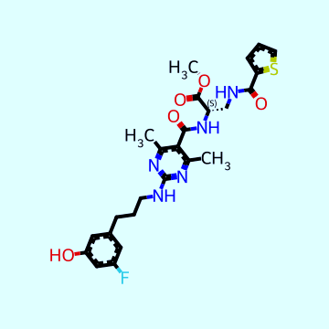 COC(=O)[C@H](CNC(=O)c1cccs1)NC(=O)c1c(C)nc(NCCCc2cc(O)cc(F)c2)nc1C